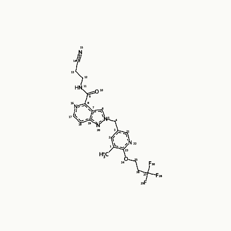 Cc1cc(Cn2cc3c(C(=O)NCCC#N)nccc3n2)cnc1OCCC(F)(F)F